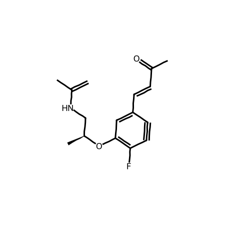 C=C(C)NC[C@H](C)Oc1cc(/C=C/C(C)=O)c#cc1F